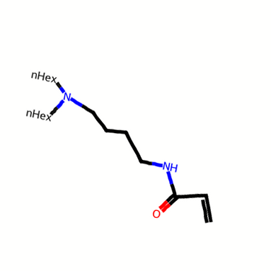 C=CC(=O)NCCCCN(CCCCCC)CCCCCC